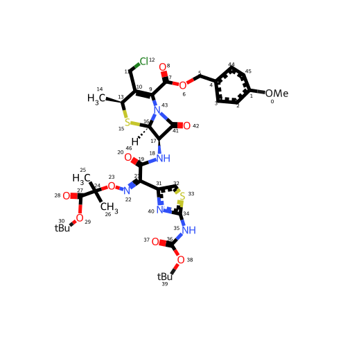 COc1ccc(COC(=O)C2=C(CCl)[C@H](C)S[C@@H]3[C@H](NC(=O)/C(=N\OC(C)(C)C(=O)OC(C)(C)C)c4csc(NC(=O)OC(C)(C)C)n4)C(=O)N23)cc1